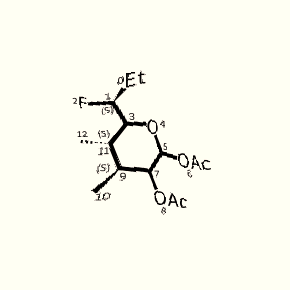 CC[C@H](F)C1OC(OC(C)=O)C(OC(C)=O)[C@@H](C)[C@@H]1C